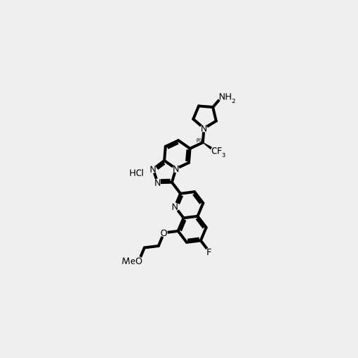 COCCOc1cc(F)cc2ccc(-c3nnc4ccc([C@@H](N5CCC(N)C5)C(F)(F)F)cn34)nc12.Cl